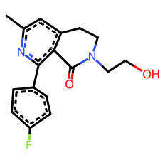 Cc1cc2c(c(-c3ccc(F)cc3)n1)C(=O)N(CCO)CC2